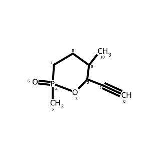 C#CC1OP(C)(=O)CCC1C